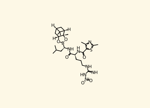 Cc1nc(C)c(C(=O)N[C@@H](CCCNC(=N)N[N+](=O)[O-])C(=O)N[C@@H](CC(C)C)B2O[C@@H]3C[C@@H]4C[C@@H](C4(C)C)[C@]3(C)O2)s1